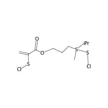 C=C(SCl)C(=O)OCCCS(C)(SCl)C(C)C